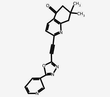 CC1(C)CC(=O)c2ccc(C#Cc3nnc(-c4cccnc4)o3)nc2C1